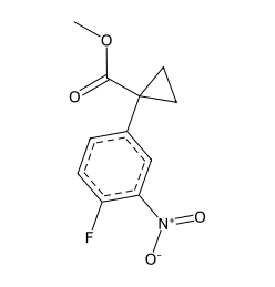 COC(=O)C1(c2ccc(F)c([N+](=O)[O-])c2)CC1